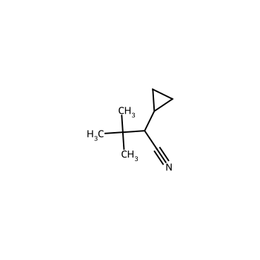 CC(C)(C)C(C#N)C1CC1